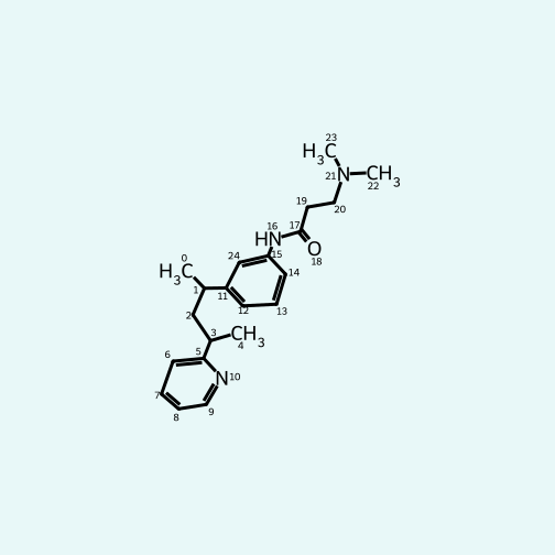 CC(CC(C)c1ccccn1)c1cccc(NC(=O)CCN(C)C)c1